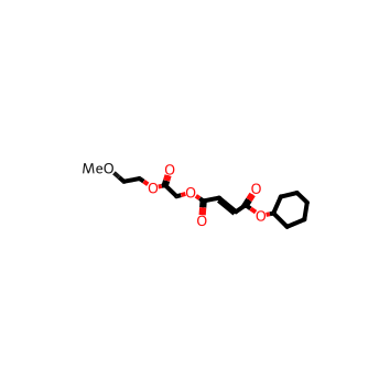 COCCOC(=O)COC(=O)/C=C/C(=O)OC1CCCCC1